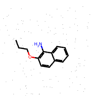 CCCOc1ccc2ccccc2c1N